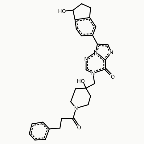 O=C(CCc1ccccc1)N1CCC(O)(Cn2cnn3c(-c4ccc5c(c4)CCC5O)cnc3c2=O)CC1